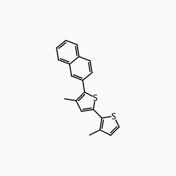 Cc1cc(-c2sccc2C)sc1-c1ccc2ccccc2c1